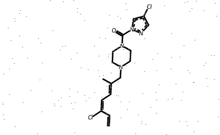 C=C/C(Cl)=C\C=C(/C)CN1CCN(C(=O)n2cc(Cl)cn2)CC1